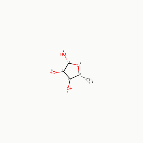 C[C@H]1O[C@@H](O)C(O)C1O